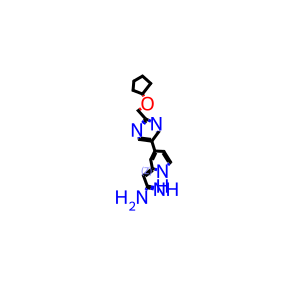 N=C(N)/C=C1/C=C(c2cnc(COC3CCCC3)nc2)C=CN1